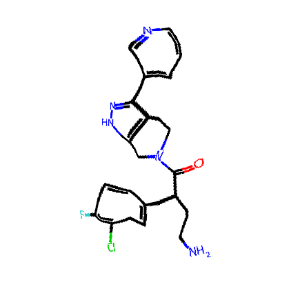 NCCC(C(=O)N1Cc2[nH]nc(-c3cccnc3)c2C1)c1ccc(F)c(Cl)c1